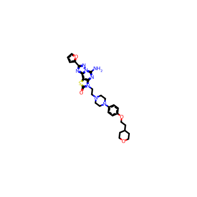 Nc1nc2c(sc(=O)n2CCN2CCN(c3ccc(OCCC4CCOCC4)cc3)CC2)c2nc(-c3ccco3)nn12